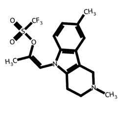 CC(=Cn1c2c(c3cc(C)ccc31)CN(C)CC2)OS(=O)(=O)C(F)(F)F